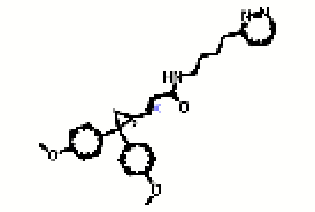 COc1ccc(C2(c3ccc(OC)cc3)C[C@H]2/C=C/C(=O)NCCCCc2cccnn2)cc1